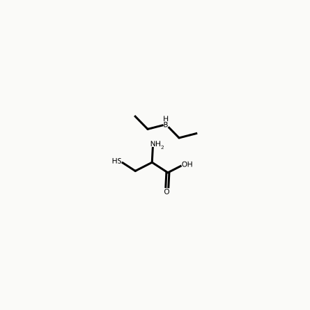 CCBCC.NC(CS)C(=O)O